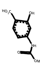 [CH2]OC(=O)Nc1ccc(C(=O)O)c(O)c1